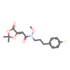 CON(CCCc1ccc(F)cc1)C(=O)/C=C1\OC(C)(C)OC1=O